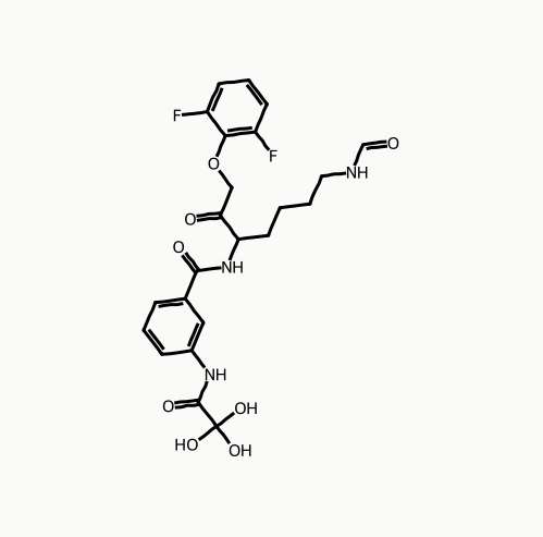 O=CNCCCCC(NC(=O)c1cccc(NC(=O)C(O)(O)O)c1)C(=O)COc1c(F)cccc1F